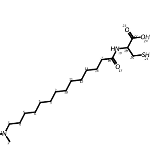 CN(C)CCCCCCCCCCCCCC(=O)NC(CS)C(=O)O